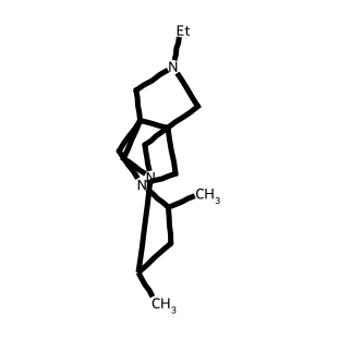 CCN1CC23CN4CC2(C1)CN(C3)C(C)CC4C